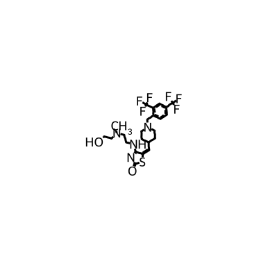 CN(CCO)CCNC1=NC(=O)SC1=CC1CCN(Cc2ccc(C(F)(F)F)cc2C(F)(F)F)CC1